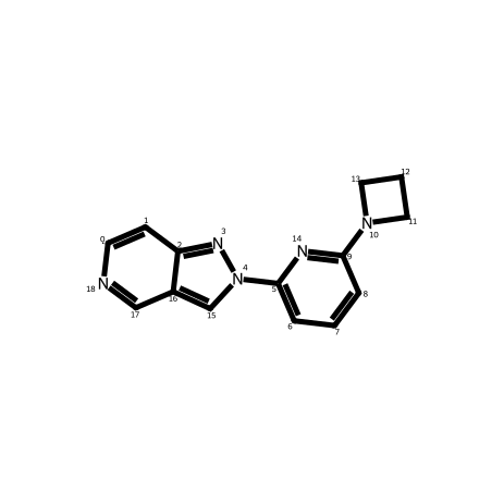 [c]1cc2nn(-c3cccc(N4CCC4)n3)cc2cn1